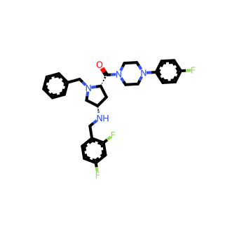 O=C([C@@H]1C[C@H](NCc2ccc(F)cc2F)CN1Cc1ccccc1)N1CCN(c2ccc(F)cc2)CC1